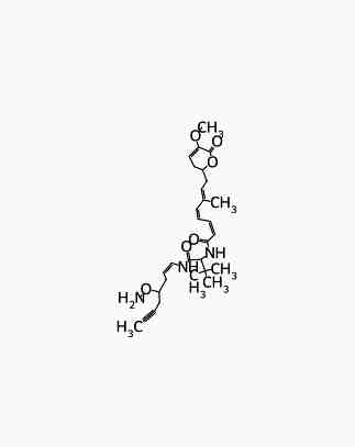 CC#CCC(C/C=C\NC(=O)C(NC(=O)\C=C/C=C\C(C)=C\CC1CC=C(OC)C(=O)O1)C(C)(C)C)ON